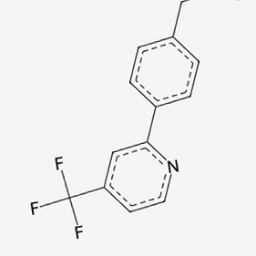 CCc1ccc(-c2cc(C(F)(F)F)ccn2)cc1